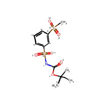 CC(C)(C)OC(=O)[N]S(=O)(=O)c1cccc(S(C)(=O)=O)c1